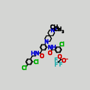 C[N+]1(C)CCC2(CCN(c3ccc(C(=O)NCCc4ccc(Cl)cc4Cl)cc3NC(=O)c3cccc(Cl)c3)CC2)CC1.O=C([O-])C(F)(F)F